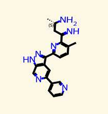 Cc1ccc(-c2n[nH]c3cnc(-c4cccnc4)cc23)nc1C(=N)C[C@H](C)N